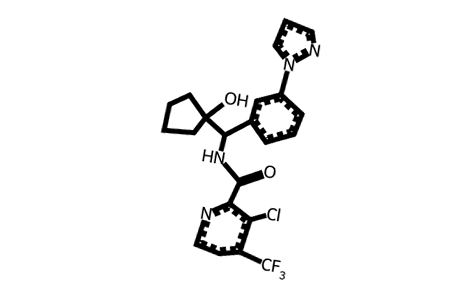 O=C(NC(c1cccc(-n2cccn2)c1)C1(O)CCCC1)c1nccc(C(F)(F)F)c1Cl